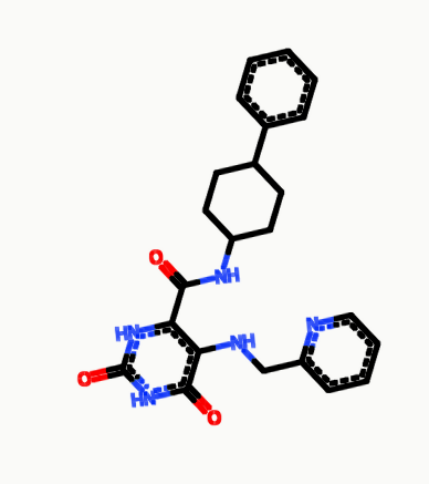 O=C(NC1CCC(c2ccccc2)CC1)c1[nH]c(=O)[nH]c(=O)c1NCc1ccccn1